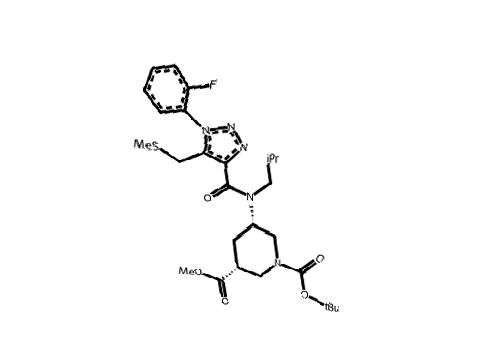 COC(=O)[C@@H]1C[C@H](N(CC(C)C)C(=O)c2nnn(-c3ccccc3F)c2CSC)CN(C(=O)OC(C)(C)C)C1